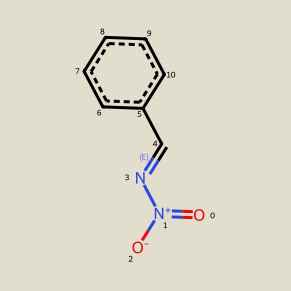 O=[N+]([O-])/N=C/c1ccccc1